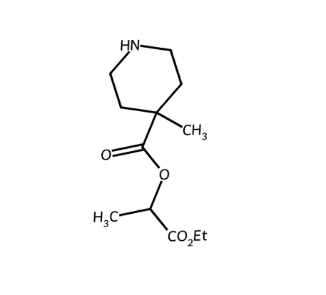 CCOC(=O)C(C)OC(=O)C1(C)CCNCC1